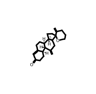 C=C1C[C@@]2(C)[C@@H](CCC23OCCCC3=C)[C@@H]2CCC3=CC(=O)CC[C@@H]3[C@@H]12